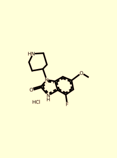 COc1cc(F)c2[nH]c(=O)n(C3CCNCC3)c2c1.Cl